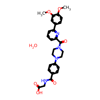 COc1ccc(-c2cccc(C(=O)N3CCN(c4ccc(C(=O)NCC(=O)O)cc4)CC3)n2)cc1OC.O